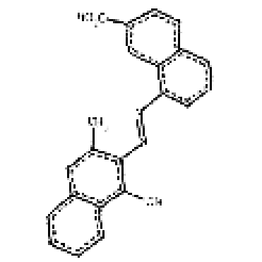 Cc1cc2ccccc2c(O)c1/N=N/c1cccc2ccc(C(=O)O)cc12